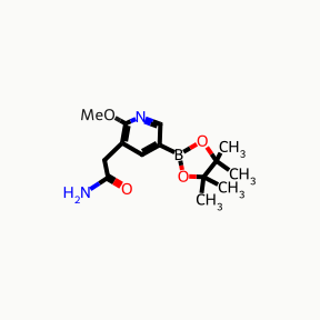 COc1ncc(B2OC(C)(C)C(C)(C)O2)cc1CC(N)=O